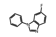 Fc1ccc2ncn(-c3ccccc3)c2c1